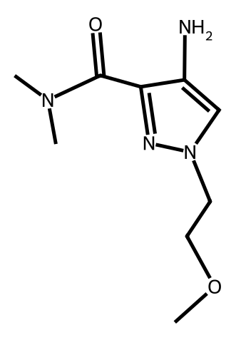 COCCn1cc(N)c(C(=O)N(C)C)n1